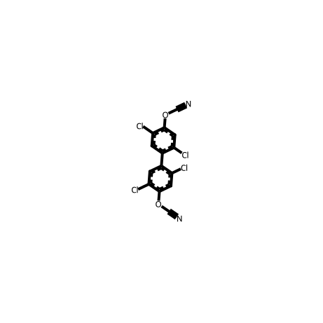 N#COc1cc(Cl)c(-c2cc(Cl)c(OC#N)cc2Cl)cc1Cl